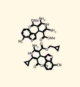 COC(=O)C1=C(C2CC2)NC(N)=C(C(=O)OCC2CC2)C1c1csc2c(C#N)cccc12.COC(=O)C1=C(N)NC(N)=C(C(=O)OC)C1c1csc2c(C#N)cccc12